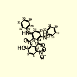 O=C1c2c(O)ccc([N+](=O)[O-])c2C(=O)c2c(Nc3ccccc3)ccc(Nc3ccccc3)c21